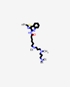 CCCc1nc2c(NC(=O)CCCCCN(CC)CCCN(C)CCCN(CC)CC)nc3ccccc3c2s1